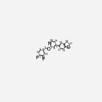 Fc1ccc(COc2cc(-c3ccc4c(c3)CCO4)ccn2)cc1F